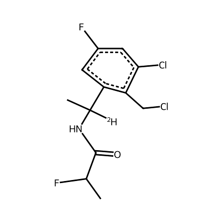 [2H]C(C)(NC(=O)C(C)F)c1cc(F)cc(Cl)c1CCl